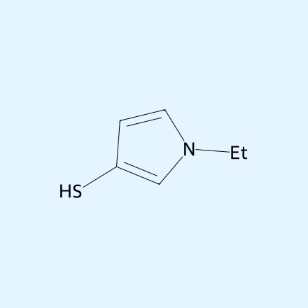 CCn1ccc(S)c1